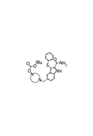 CC(C)(C)OC(=O)ON1CCCN(Cc2ccc3[nH]c(C(N)=O)c(Sc4ccccc4)c3c2)CC1